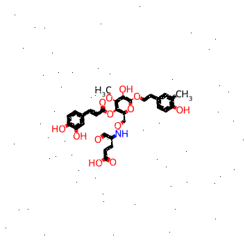 CO[C@@H]1[C@H](O)[C@H](OCCc2ccc(O)c(C)c2)O[C@@H](CON[C@H](C=O)CCC(=O)O)[C@H]1OC(=O)/C=C/c1ccc(O)c(O)c1